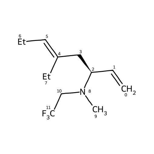 C=C[C@H](C/C(=C/CC)CC)N(C)CC(F)(F)F